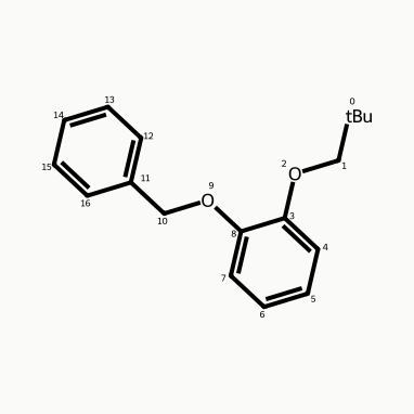 CC(C)(C)COc1ccccc1OCc1ccccc1